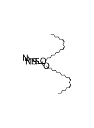 CCCCC/C=C\C/C=C\CCCCCCCCCOCC(CSSCc1cnc[nH]1)OCCCCCCCC/C=C\C/C=C\CCCCC